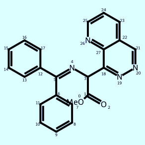 COC(=O)C(N=C(c1ccccc1)c1ccccc1)c1nncc2cccnc12